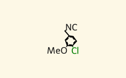 [C-]#[N+]Cc1ccc(Cl)c(OC)c1